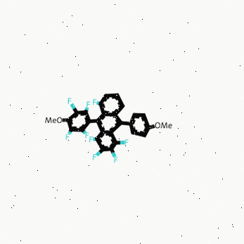 COc1ccc(-c2c3cccc(F)c3c(-c3c(F)c(F)c(OC)c(F)c3F)c3c(F)c(F)c(F)c(F)c23)cc1